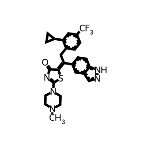 CN1CCN(C2=NC(=O)C(=C(Cc3ccc(C(F)(F)F)cc3C3CC3)c3ccc4[nH]ncc4c3)S2)CC1